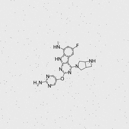 CNc1cc(F)cc2c1[nH]c1nc(Oc3cnc(N)nc3)nc(N3CC4CNC4C3)c12